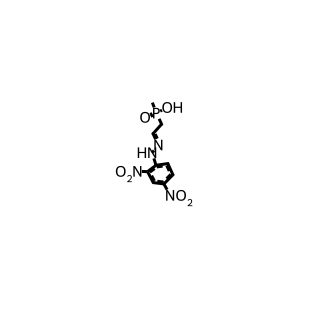 CP(=O)(O)CC=NNc1ccc([N+](=O)[O-])cc1[N+](=O)[O-]